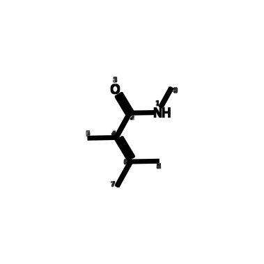 [CH2]NC(=O)C(C)=C(C)C